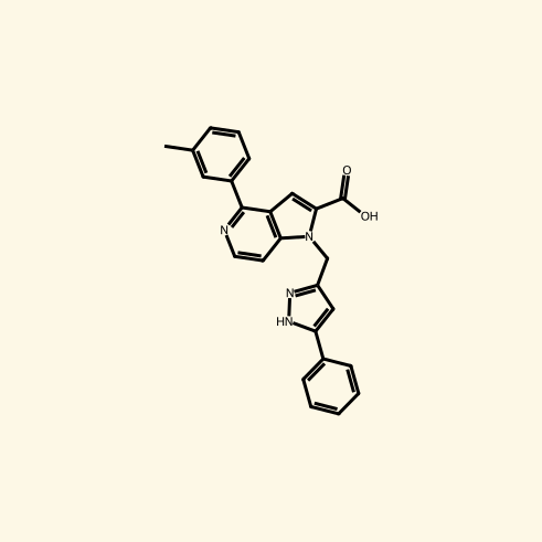 Cc1cccc(-c2nccc3c2cc(C(=O)O)n3Cc2cc(-c3ccccc3)[nH]n2)c1